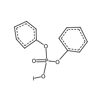 O=P(OI)(Oc1ccccc1)Oc1ccccc1